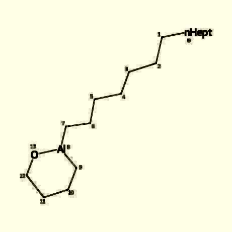 CCCCCCCCCCCCC[CH2][Al]1[CH2]CCC[O]1